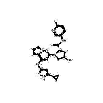 O=C(Nc1ccc(F)nc1)[C@@H]1C[C@@H](O)CN1c1nc(Nc2cc(C3CC3)[nH]n2)c2cccn2n1